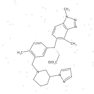 CCOC(=O)C[C@H](c1ccc(C)c(CN2CCCC(n3cccn3)C2)c1)c1ccc2c(nnn2C)c1C